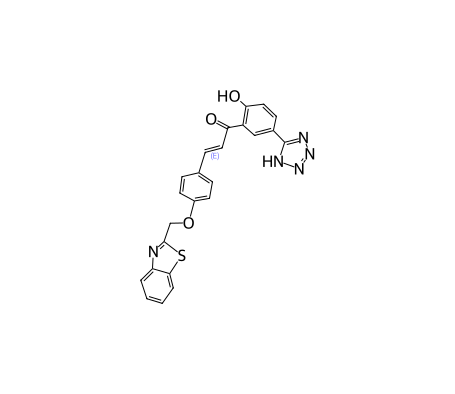 O=C(/C=C/c1ccc(OCc2nc3ccccc3s2)cc1)c1cc(-c2nnn[nH]2)ccc1O